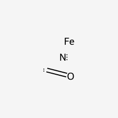 [C]=O.[Fe].[N]